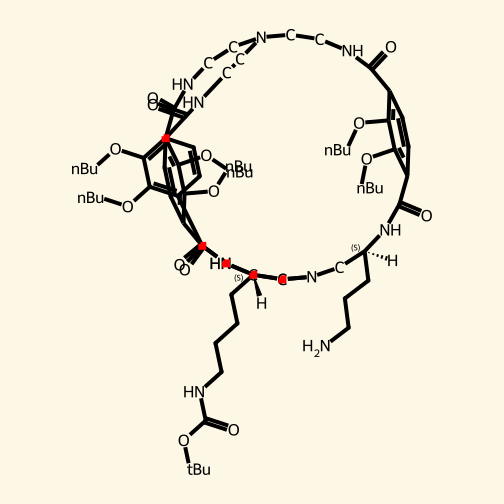 CCCCOc1c2ccc(c1OCCCC)C(=O)NCCN1C[C@H](CCCN)NC(=O)c3ccc(c(OCCCC)c3OCCCC)C(=O)NCCN(CCNC2=O)CCNC(=O)c2ccc(c(OCCCC)c2OCCCC)C(=O)N[C@@H](CCCCNC(=O)OC(C)(C)C)C1